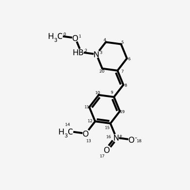 COBN1CCCC(=Cc2ccc(OC)c([N+](=O)[O-])c2)C1